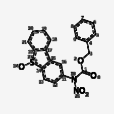 O=C(OCc1ccccc1)N(c1ccc2c(c1)c1ccccc1[s+]2[O-])[N+](=O)[O-]